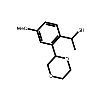 COc1ccc(C(C)S)c(C2COCCO2)c1